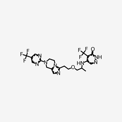 CC(COCCc1ncc2n1CCN(c1ncc(C(F)(F)F)cn1)C2)Nc1cn[nH]c(=O)c1C(F)(F)F